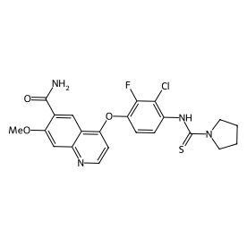 COc1cc2nccc(Oc3ccc(NC(=S)N4CCCC4)c(Cl)c3F)c2cc1C(N)=O